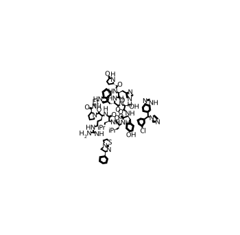 CCNC(=O)[C@@H]1CCCN1C(=O)[C@H](CCCNC(=N)N)NC(=O)[C@H](CC(C)C)NC(=O)[C@@H](CC(C)C)NC(=O)[C@H](Cc1ccc(O)cc1)NC(=O)[C@H](CO)NC(=O)[C@H](Cc1c[nH]c2ccccc12)NC(=O)[C@H](Cc1c[nH]cn1)NC(=O)[C@@H]1CCC(=O)N1.Clc1cccc(C(c2ccc3nc[nH]c3c2)n2ccnc2)c1.c1ccc([C@H]2CN3CCSC3=N2)cc1